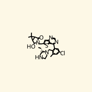 CC[C@H]1CNCCN1Cc1c(C)cc(Cl)cc1-c1ncnc2cc(CN3C(=O)C4C(C3O)C4(C)C)sc12